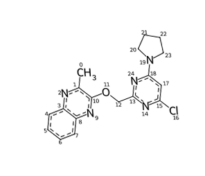 Cc1nc2ccccc2nc1OCc1nc(Cl)cc(N2CCCC2)n1